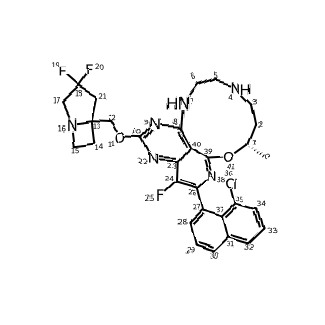 C[C@H]1CCNCCNc2nc(OCC34CCN3CC(F)(F)C4)nc3c(F)c(-c4cccc5cccc(Cl)c45)nc(c23)O1